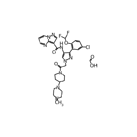 CN1CCN(C2CCN(C(=O)Cn3cc(NC(=O)c4cnn5cccnc45)c(-c4cc(Cl)ccc4OC(F)F)n3)CC2)CC1.O=CO